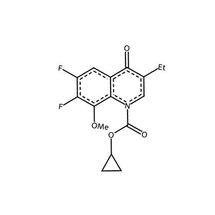 CCc1cn(C(=O)OC2CC2)c2c(OC)c(F)c(F)cc2c1=O